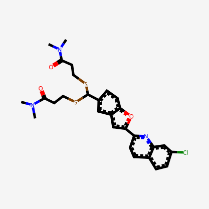 CN(C)C(=O)CCSC(SCCC(=O)N(C)C)c1ccc2oc(-c3ccc4ccc(Cl)cc4n3)cc2c1